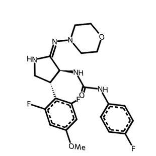 COc1cc(F)c([C@@H]2CNC(=NN3CCOCC3)[C@H]2NC(=O)Nc2ccc(F)cc2)c(F)c1